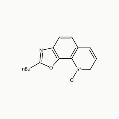 CCCCc1nc2ccc3c(c2o1)[S+]([O-])CC=C3